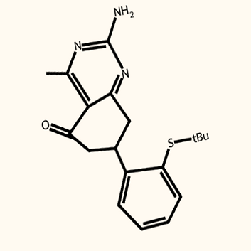 Cc1nc(N)nc2c1C(=O)CC(c1ccccc1SC(C)(C)C)C2